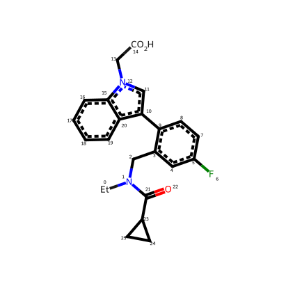 CCN(Cc1cc(F)ccc1-c1cn(CC(=O)O)c2ccccc12)C(=O)C1CC1